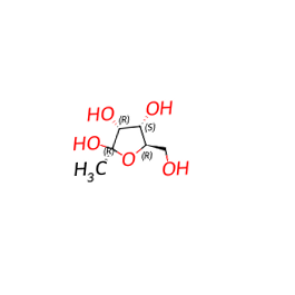 C[C@@]1(O)O[C@H](CO)[C@@H](O)[C@H]1O